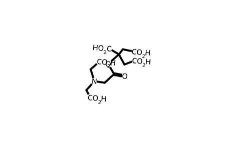 O=C(O)CN(CC(=O)O)CC(=O)OC(CC(=O)O)(CC(=O)O)C(=O)O